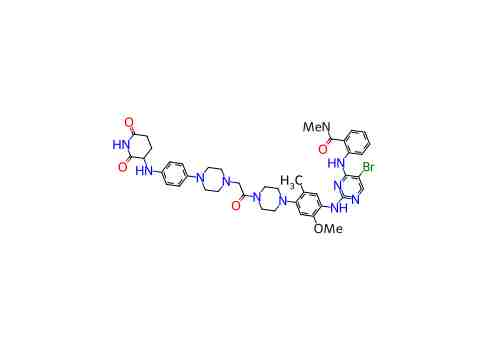 CNC(=O)c1ccccc1Nc1nc(Nc2cc(C)c(N3CCN(C(=O)CN4CCN(c5ccc(NC6CCC(=O)NC6=O)cc5)CC4)CC3)cc2OC)ncc1Br